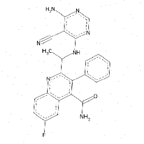 CC(Nc1ncnc(N)c1C#N)c1nc2ccc(F)cc2c(C(N)=O)c1-c1ccccc1